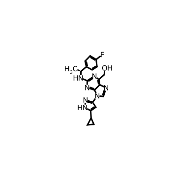 C[C@H](Nc1nc(CO)c2ncn(-c3cc(C4CC4)[nH]n3)c2n1)c1ccc(F)cc1